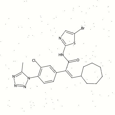 Cc1nnnn1-c1ccc(C(=CC2CCCCCC2)C(=O)Nc2ncc(Br)s2)cc1Cl